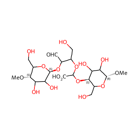 CO[C@@H]1OC(CO)[C@@H](OC(OC(CO)C(C=O)O[C@@H]2OC(CO)[C@@H](OC)C(O)C2O)C(=O)O)C(O)C1O